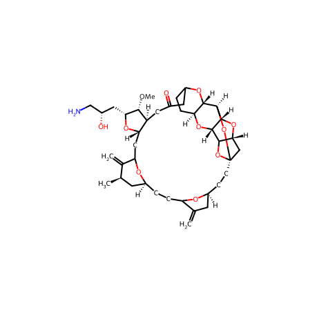 C=C1C[C@@H]2CC[C@@]34C[C@H]5O[C@H]6[C@@H](O3)[C@H]3OC(CC[C@@H]3O[C@H]6C5O4)CC(=O)C[C@@H]3[C@@H](OC)[C@@H](C[C@H](O)CN)O[C@H]3CC3O[C@@H](CCC1O2)C[C@@H](C)C3=C